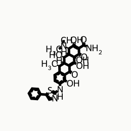 C[C@@H]1c2ccc(Nc3ncc(-c4ccccc4)s3)c(O)c2C(=O)C2=C(O)[C@@]3(O)C(=O)C(C(N)=O)=C(O)[C@H](N(C)C)[C@H]3[C@H](O)[C@H]21